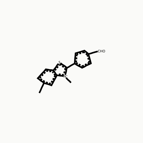 Cc1ccc2sc(-c3ccc(C=O)cc3)[n+](C)c2c1